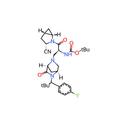 CC(C)(C)OC(=O)N[C@@H](CN1C[C@@H]2C[C@H]1C(=O)N2[C@@H](c1ccc(F)cc1)C(C)(C)C)C(=O)N1[C@H](C#N)C[C@@H]2C[C@@H]21